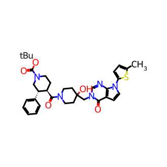 Cc1ccc(-n2ccc3c(=O)n(CC4(O)CCN(C(=O)[C@@H]5CCN(C(=O)OC(C)(C)C)C[C@H]5c5ccccc5)CC4)cnc32)s1